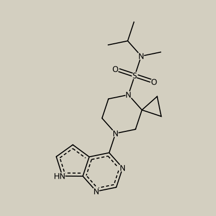 CC(C)N(C)S(=O)(=O)N1CCN(c2ncnc3[nH]ccc23)CC12CC2